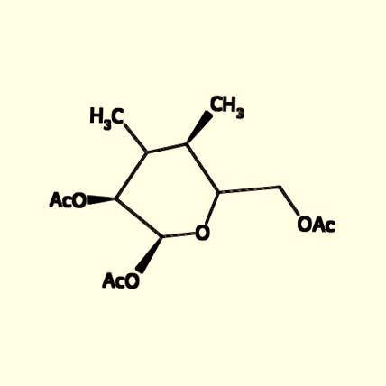 CC(=O)OCC1O[C@@H](OC(C)=O)[C@@H](OC(C)=O)C(C)[C@H]1C